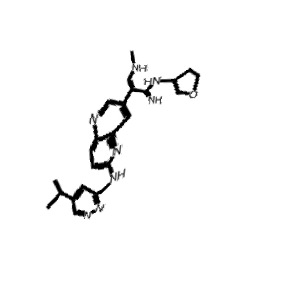 CN/C=C(\C(=N)NC1CCOC1)c1cnc2ccc(Nc3cc(C(C)C)cnn3)nc2c1